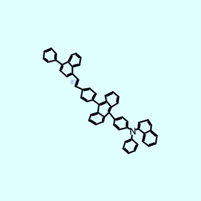 C(=C\c1ccc(-c2ccccc2)c2ccccc12)/c1ccc(-c2c3ccccc3c(-c3ccc(N(c4ccccc4)c4cccc5ccccc45)cc3)c3ccccc23)cc1